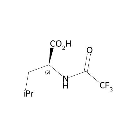 CC(C)C[C@H](NC(=O)C(F)(F)F)C(=O)O